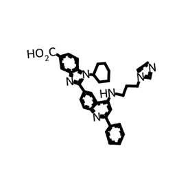 O=C(O)c1ccc2c(c1)nc(-c1ccc3nc(-c4ccccc4)cc(NCCCn4ccnc4)c3c1)n2C1CCCCC1